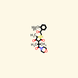 COc1ccccc1C(C[SH]1C(=O)C(C(C)(C)C(=O)N2CCOCC2)C(=O)C1C)OC(C)C